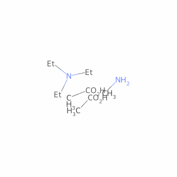 CC(=O)O.CC(=O)O.CCN(CC)CC.CN